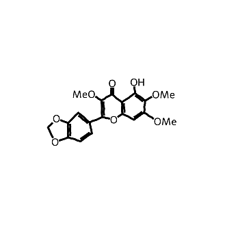 COc1cc2oc(-c3ccc4c(c3)OCO4)c(OC)c(=O)c2c(O)c1OC